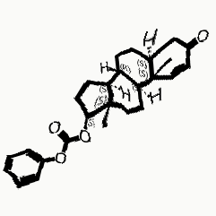 C[C@]12C=CC(=O)C[C@@H]1CC[C@@H]1[C@@H]2CC[C@]2(C)[C@@H](OC(=O)Oc3ccccc3)CC[C@@H]12